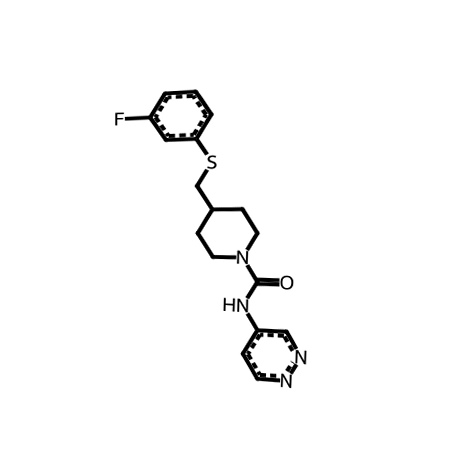 O=C(Nc1ccnnc1)N1CCC(CSc2cccc(F)c2)CC1